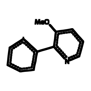 COc1cccnc1-c1[c]cccc1